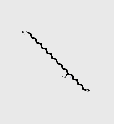 CCCCC/C=C/C(O)CCCCCCCCCCCCCCCC